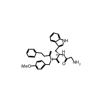 C=C(CCc1ccccc1)N(Cc1ccc(OC)cc1)C(=C)[C@@H](Cc1c[nH]c2ccccc12)NC(=O)CN